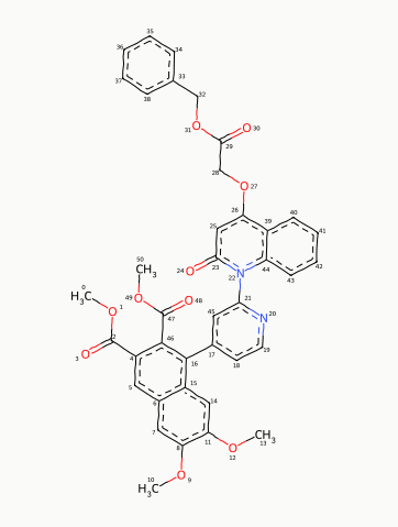 COC(=O)c1cc2cc(OC)c(OC)cc2c(-c2ccnc(-n3c(=O)cc(OCC(=O)OCc4ccccc4)c4ccccc43)c2)c1C(=O)OC